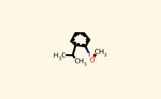 C=O.CC(C)c1ccccc1I